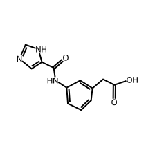 O=C(O)Cc1cccc(NC(=O)c2cnc[nH]2)c1